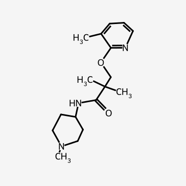 Cc1cccnc1OCC(C)(C)C(=O)NC1CCN(C)CC1